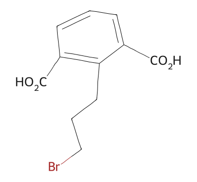 O=C(O)c1cccc(C(=O)O)c1CCCBr